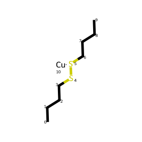 CCCCSSCCCC.[Cu]